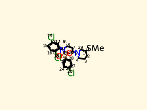 CSC1CCCN(CC[C@@H](C)N(c2cc(Cl)ccc2Cl)S(=O)(=O)c2ccc(Cl)cc2)C1